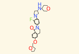 O=C1c2ccc(OCC3CCCO3)cc2CCN1c1ccc(N2CCC(NC3CCOCC3)C2)c(F)c1